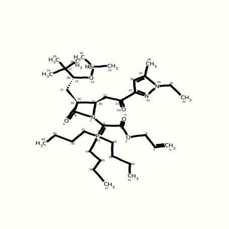 C=CCOC(=O)C(N1C(=O)[C@@H](C[C@@H](O[SiH](C)C)C(C)(C)C)[C@H]1CC(=O)c1cc(C)n(CC)n1)=P(CCCC)(CCCC)CCCC